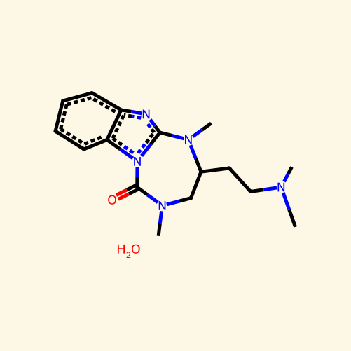 CN(C)CCC1CN(C)C(=O)n2c(nc3ccccc32)N1C.O